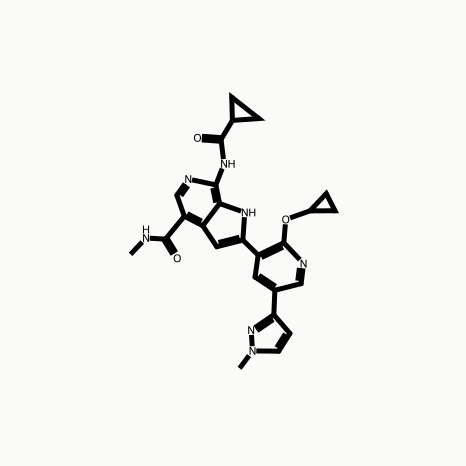 CNC(=O)c1cnc(NC(=O)C2CC2)c2[nH]c(-c3cc(-c4ccn(C)n4)cnc3OC3CC3)cc12